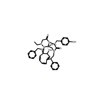 CCN1CC(=O)N2[C@@H](Cc3ccc(O)cc3)C(=O)N3CC(c4ccccc4)C4=C\C(O)C(NCc5ccccc5)(\C=C/C=C\4)N1[C@H]2C3